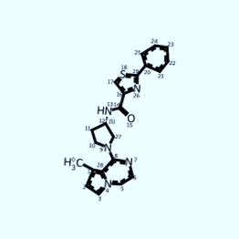 Cc1ccn2ccnc(N3CC[C@H](NC(=O)c4csc(-c5ccccc5)n4)C3)c12